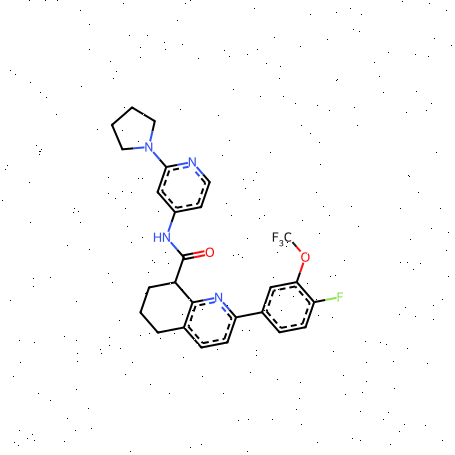 O=C(Nc1ccnc(N2CCCC2)c1)C1CCCc2ccc(-c3ccc(F)c(OC(F)(F)F)c3)nc21